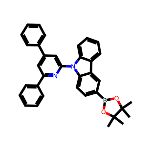 CC1(C)OB(c2ccc3c(c2)c2ccccc2n3-c2cc(-c3ccccc3)cc(-c3ccccc3)n2)OC1(C)C